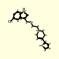 Clc1ccc2[nH]cc(CSCCN3CC=C(c4cccs4)CC3)c2c1